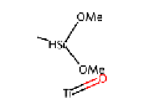 CO[SiH](C)OC.[O]=[Ti]